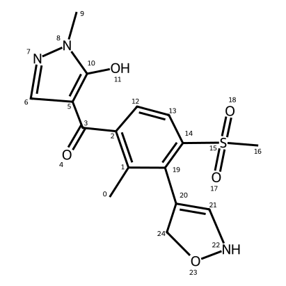 Cc1c(C(=O)c2cnn(C)c2O)ccc(S(C)(=O)=O)c1C1=CNOC1